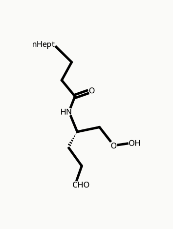 CCCCCCCCCC(=O)N[C@@H](CCC=O)COO